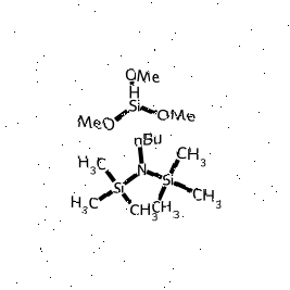 CCCCN([Si](C)(C)C)[Si](C)(C)C.CO[SiH](OC)OC